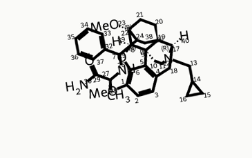 COc1ccc2c3c1O[C@@H]1[C@]34CCN(CC3CC3)[C@H](C2)[C@]42CC[C@@]1(OC)C(C(NC(C)C(N)=O)c1ccccc1)C2